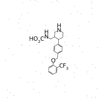 O=C(O)NCC1CNCCC1c1ccc(COc2ccccc2C(F)(F)F)cc1